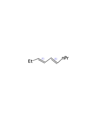 CC/C=C/C=C/CCC